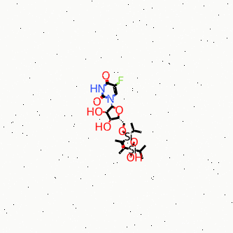 CC(C)[Si](O)(O[Si](OC[C@H]1O[C@@H](n2cc(F)c(=O)[nH]c2=O)[C@H](O)[C@@H]1O)(C(C)C)C(C)C)C(C)C